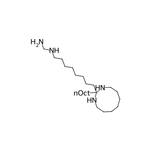 CCCCCCCCC1(CCCCCCCCNCN)NCCCCCCCN1